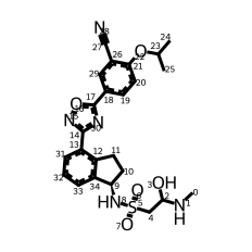 CNC(O)CS(=O)(=O)N[C@@H]1CCc2c(-c3noc(-c4ccc(OC(C)C)c(C#N)c4)n3)cccc21